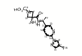 C[C@H](NC(=O)C1(N)CN(C(=O)O)C1)c1ccc(-n2cc(F)cn2)nc1